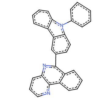 c1ccc(-n2c3ccccc3c3cc(-c4nc5cccnc5c5ccccc45)ccc32)cc1